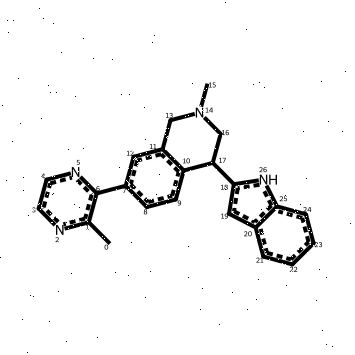 Cc1nccnc1-c1ccc2c(c1)CN(C)CC2c1cc2ccccc2[nH]1